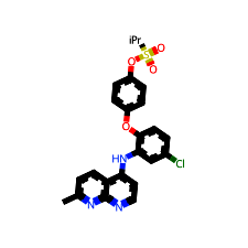 Cc1ccc2c(Nc3cc(Cl)ccc3Oc3ccc(OS(=O)(=O)C(C)C)cc3)ccnc2n1